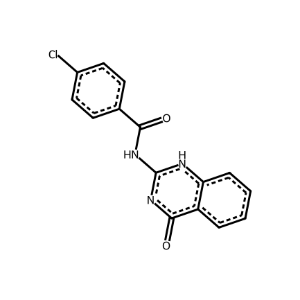 O=C(Nc1nc(=O)c2ccccc2[nH]1)c1ccc(Cl)cc1